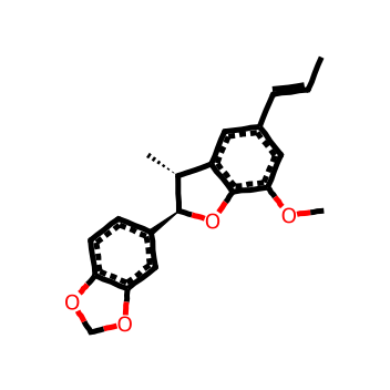 C/C=C/c1cc(OC)c2c(c1)[C@@H](C)[C@H](c1ccc3c(c1)OCO3)O2